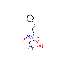 CC(C(=O)O)N(CCSC1CCCCC1)N=O